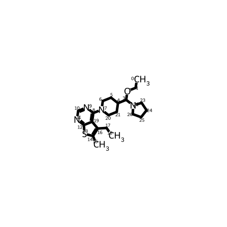 CCOC(C1CCN(c2ncnc3sc(C)c(CC)c23)CC1)N1CCCC1